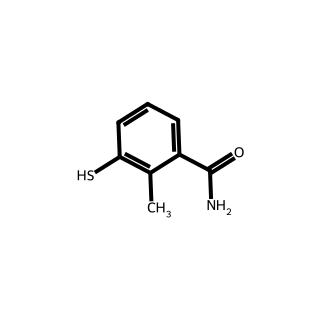 Cc1c(S)cccc1C(N)=O